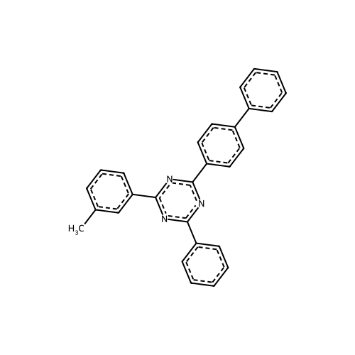 Cc1cccc(-c2nc(-c3ccccc3)nc(-c3ccc(-c4ccccc4)cc3)n2)c1